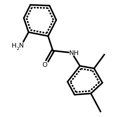 Cc1ccc(NC(=O)c2ccccc2N)c(C)c1